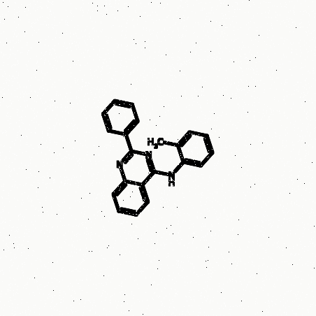 Cc1ccccc1Nc1nc(-c2ccccc2)nc2ccccc12